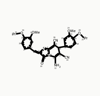 COc1cc(C=c2sc3n(c2=O)C(N)=C(C#N)C(c2ccc(OC(C)C)c(OC)c2)C=3C#N)ccc1OC(C)C